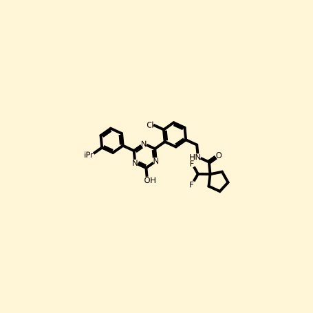 CC(C)c1cccc(-c2nc(O)nc(-c3cc(CNC(=O)C4(C(F)F)CCCC4)ccc3Cl)n2)c1